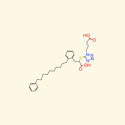 O=C(O)CCCn1nnnc1SC(Cc1ccccc1CCCCCCCCCCc1ccccc1)C(=O)O